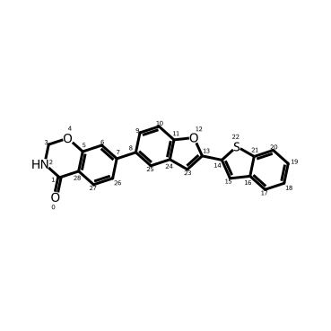 O=C1NCOc2cc(-c3ccc4oc(-c5cc6ccccc6s5)cc4c3)ccc21